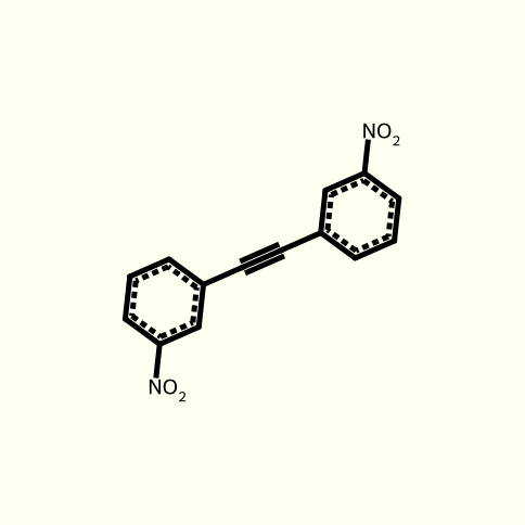 O=[N+]([O-])c1cccc(C#Cc2cccc([N+](=O)[O-])c2)c1